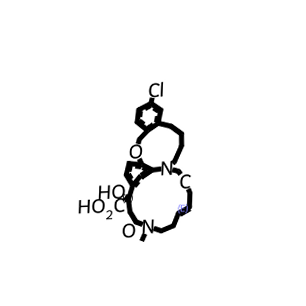 CN1CC/C=C/CCCN2CCCCc3cc(Cl)ccc3COc3ccc(cc32)[C@@](O)(C(=O)O)CC1=O